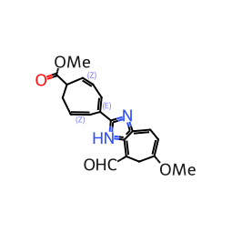 COC(=O)C1\C=C/C=C(c2nc3c([nH]2)=C(C=O)CC(OC)=CC=3)\C=C/C1